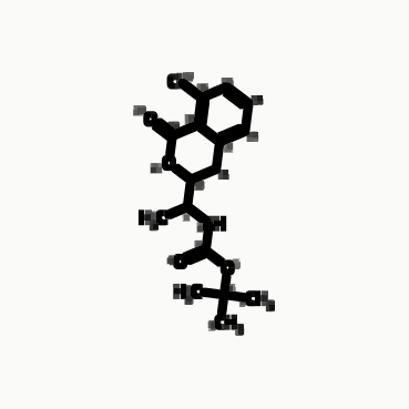 CC(NC(=O)OC(C)(C)C)C1Cc2cccc(Cl)c2C(=O)O1